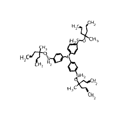 C=CCC(C)(CC=C)O[SiH2]c1ccc(N(c2ccc([SiH2]OC(C)(CC=C)CC=C)cc2)c2ccc([SiH2]OC(C)(CC=C)CC=C)cc2)cc1